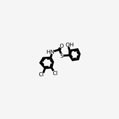 O=C(Nc1ccc(Cl)c(Cl)c1)Sc1ccccc1O